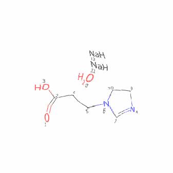 O.O=C(O)CCN1C=NCC1.[NaH].[NaH]